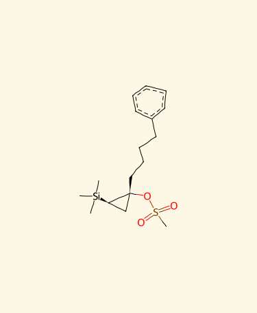 C[Si](C)(C)[C@@H]1C[C@@]1(CCCCc1ccccc1)OS(C)(=O)=O